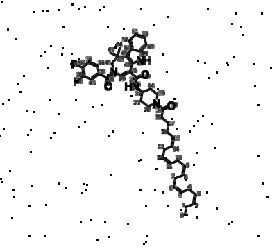 CC/C=C\C/C=C\C/C=C\C/C=C\C/C=C\CCCC(=O)N1CCC(NC(=O)C2=CN(C(=O)c3ccc(F)c(F)c3)CC(C)(C)c3c2[nH]c2ccccc32)CC1